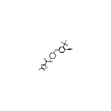 Cc1noc(C(=O)N[C@H]2CC[C@H](Oc3ccc(C#N)c(C(F)(F)F)c3)CC2)n1